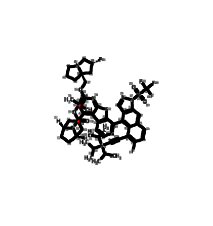 CC(C)[Si](C#Cc1c(F)ccc2cc3c(cnn3S(=O)(=O)C(F)(F)F)c(-c3nccc4c3sc3nc(OC[C@@]56CCCN5C[C@H](F)C6)nc(N5C[C@H]6CC[C@@H](C5)N6C(=O)OC(C)(C)C)c34)c12)(C(C)C)C(C)C